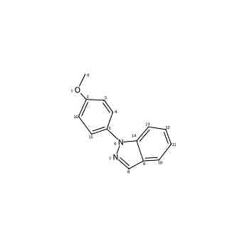 COc1ccc(-n2ncc3ccccc32)cc1